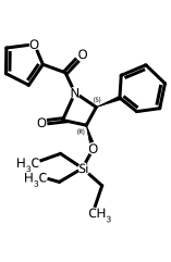 CC[Si](CC)(CC)O[C@H]1C(=O)N(C(=O)c2ccco2)[C@H]1c1ccccc1